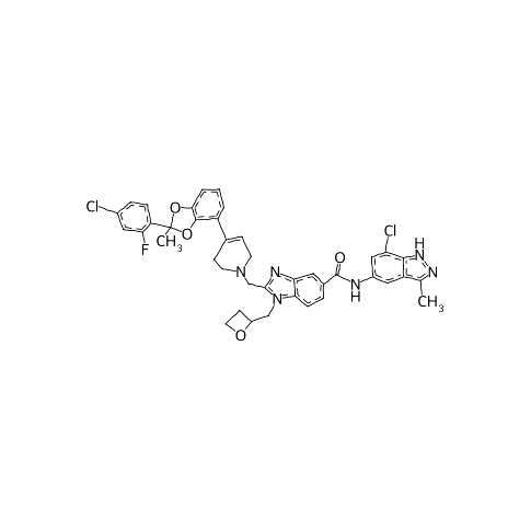 Cc1n[nH]c2c(Cl)cc(NC(=O)c3ccc4c(c3)nc(CN3CC=C(c5cccc6c5OC(C)(c5ccc(Cl)cc5F)O6)CC3)n4CC3CCO3)cc12